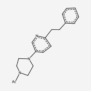 CC(=O)N1CCN(c2ccc(CCc3[c]cccc3)nc2)CC1